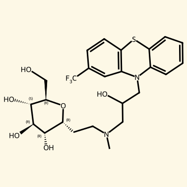 CN(CC[C@H]1O[C@H](CO)[C@@H](O)[C@H](O)[C@H]1O)CC(O)CN1c2ccccc2Sc2ccc(C(F)(F)F)cc21